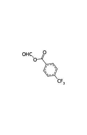 O=COC(=O)c1ccc(C(F)(F)F)cc1